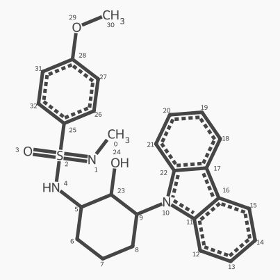 CN=S(=O)(NC1CCCC(n2c3ccccc3c3ccccc32)C1O)c1ccc(OC)cc1